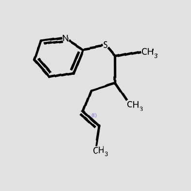 C/C=C/CC(C)C(C)Sc1ccccn1